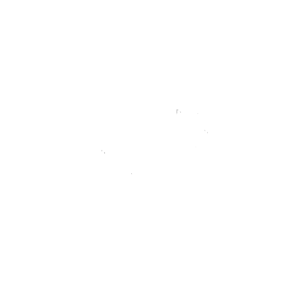 Cc1cnc(-c2c(C(F)(F)F)cc3c(=O)[nH]c(=O)[nH]c3c2I)s1